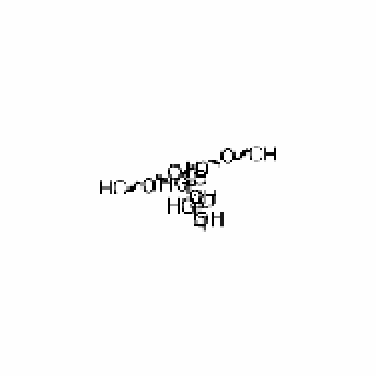 O=[PH](O)O.O=[PH](O)O.OCCOCCOCCOCCOCCO